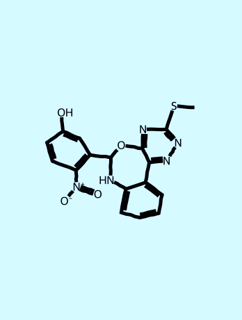 CSc1nnc2c(n1)OC(c1cc(O)ccc1[N+](=O)[O-])Nc1ccccc1-2